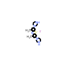 Cc1cc(N2CCCNCC2)cc2[s+]c3cc(N4CCCNCC4)cc(C)c3nc12.[I-]